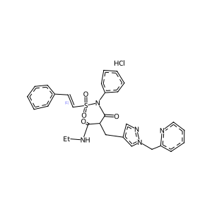 CCNC(=O)C(Cc1cnn(Cc2ccccn2)c1)C(=O)N(c1ccccc1)S(=O)(=O)/C=C/c1ccccc1.Cl